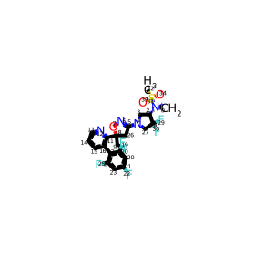 C=[N+]([C@@H]1CN(C2=NOC(CF)(c3ncccc3-c3c(F)cc(F)cc3F)C2)CC1(F)F)S(C)(=O)=O